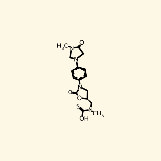 CN1CN(c2ccc(N3C[C@@H](CN(C)C(O)=S)OC3=O)cc2)CC1=O